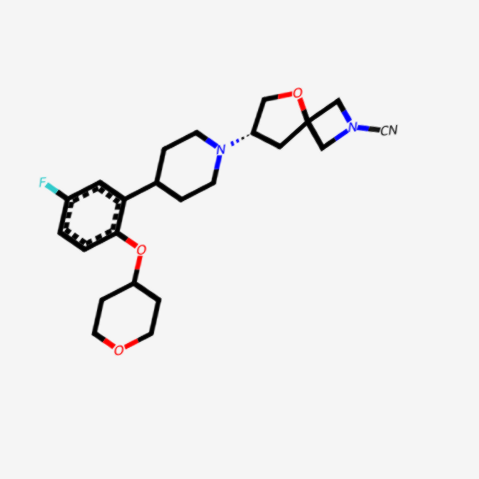 N#CN1CC2(C[C@H](N3CCC(c4cc(F)ccc4OC4CCOCC4)CC3)CO2)C1